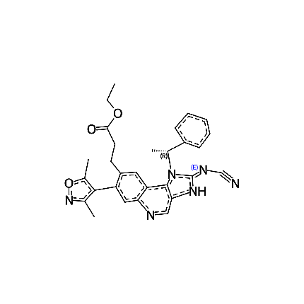 CCOC(=O)CCc1cc2c(cc1-c1c(C)noc1C)ncc1[nH]/c(=N\C#N)n([C@H](C)c3ccccc3)c12